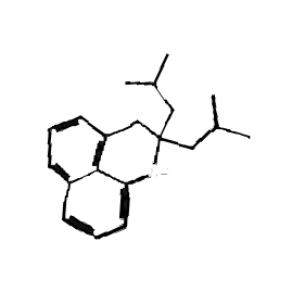 CC(C)CC1(CC(C)C)Cc2cccc3cccc(c23)N1